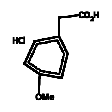 COc1ccc(CC(=O)O)cc1.Cl